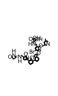 COc1nc(-c2cccc(-c3cccc4c3CC[C@@H]4Oc3nc(OCc4cncc(C)c4)c(CN[C@@](C)(CO)C(=O)O)cc3Br)c2Cl)ccc1CNC[C@@H]1CCC(=O)N1